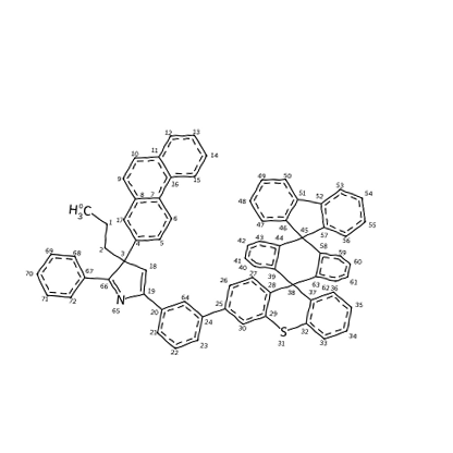 CCCC1(c2ccc3c(ccc4ccccc43)c2)C=C(c2cccc(-c3ccc4c(c3)Sc3ccccc3C43c4ccccc4C4(c5ccccc5-c5ccccc54)c4ccccc43)c2)N=C1c1ccccc1